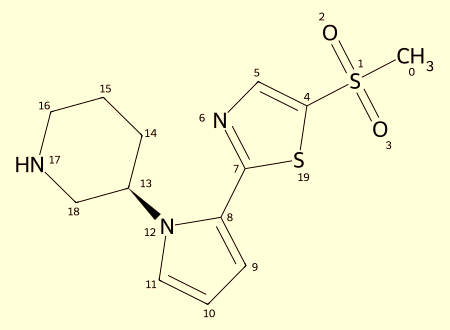 CS(=O)(=O)c1cnc(-c2cccn2[C@@H]2CCCNC2)s1